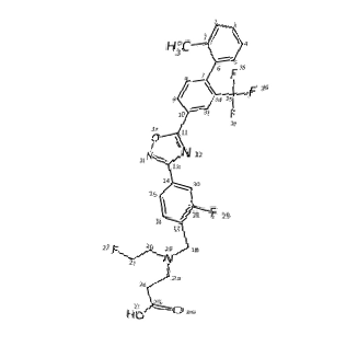 Cc1ccccc1-c1ccc(-c2nc(-c3ccc(CN(CCF)CCC(=O)O)c(F)c3)no2)cc1C(F)(F)F